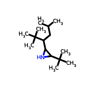 CC(C)CC(C1NC1C(C)(C)C)C(C)(C)C